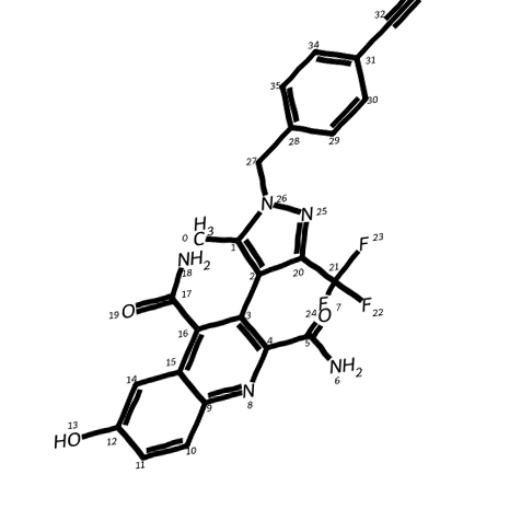 Cc1c(-c2c(C(N)=O)nc3ccc(O)cc3c2C(N)=O)c(C(F)(F)F)nn1Cc1ccc(C#N)cc1